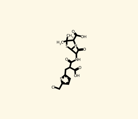 CC1(C)SC2C(NC(=O)C(Cc3ccc(CCl)s3)C(=O)O)C(=O)N2C1C(=O)O